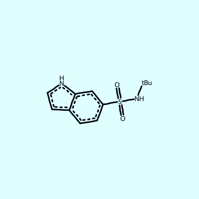 CC(C)(C)NS(=O)(=O)c1ccc2cc[nH]c2c1